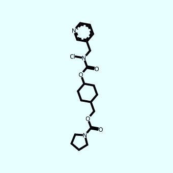 O=C(OC1CCC(COC(=O)N2CCCC2)CC1)N(Cl)Cc1cccnc1